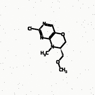 COC[C@H]1COc2cnc(Cl)nc2N1C